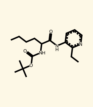 CCCCC(NC(=O)OC(C)(C)C)C(=O)Nc1cccnc1CC